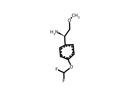 COC[C@H](N)c1ccc(OC(F)F)cc1